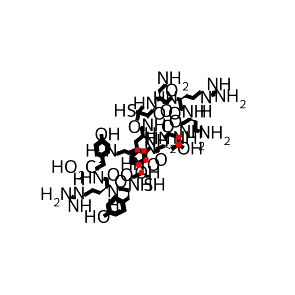 C[C@@H](O)[C@H](NC(=O)[C@H](CCN)NC(=O)[C@H](CCCNC(=N)N)NC(=O)[C@H](CC(N)=O)NC(=O)[C@@H](NC(=O)[C@@H](N)Cc1ccc(O)cc1)C(C)(C)S)C(=O)N[C@H](CCN)C(=O)N[C@@H](CCCCN)C(=O)N[C@@H](CS)C(=O)N[C@@H](Cc1ccc(O)cc1)C(=O)N[C@@H](CCCNC(=N)N)C(=O)N[C@@H](Cc1ccc(O)cc1)C(=O)O